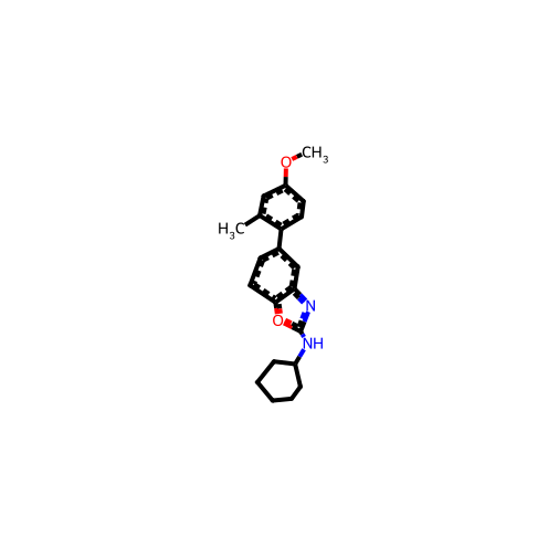 COc1ccc(-c2ccc3oc(NC4CCCCC4)nc3c2)c(C)c1